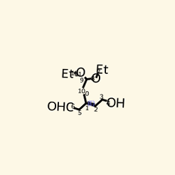 C/C(=C\CO)CC=O.CCOC(C)OCC